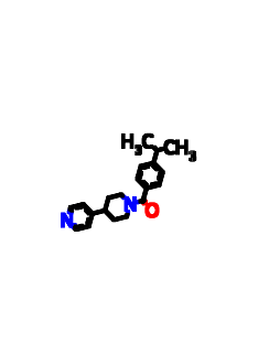 CC(C)c1ccc(C(=O)N2CCC(c3ccncc3)CC2)cc1